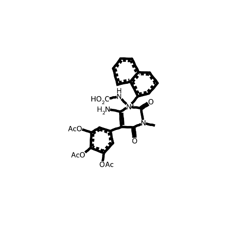 CC(=O)Oc1cc(C2=C(N)[N+](NC(=O)O)(c3cccc4ccccc34)C(=O)N(C)C2=O)cc(OC(C)=O)c1OC(C)=O